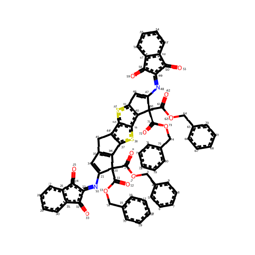 O=C(OCc1ccccc1)C1(C(=O)OCc2ccccc2)C(N=c2c(=O)c3ccccc3c2=O)=CC2=C1c1sc3c4c(sc3c1C2)C=C(N=c1c(=O)c2ccccc2c1=O)C4(C(=O)OCc1ccccc1)C(=O)OCc1ccccc1